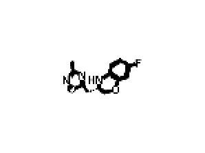 Cc1noc(C[C@H]2COc3cc(F)ccc3N2)n1